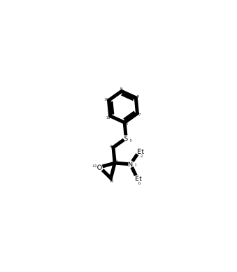 CCN(CC)C1(CSc2ccccc2)CO1